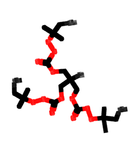 CCC(COC(=O)OOC(C)(C)CC(C)(C)C)(COC(=O)OOC(C)(C)CC(C)(C)C)COC(=O)OOC(C)(C)CC(C)(C)C